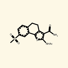 CC(=O)Nc1sc2c(c1C(N)=O)CCc1ccc(S(C)(=O)=O)cc1-2